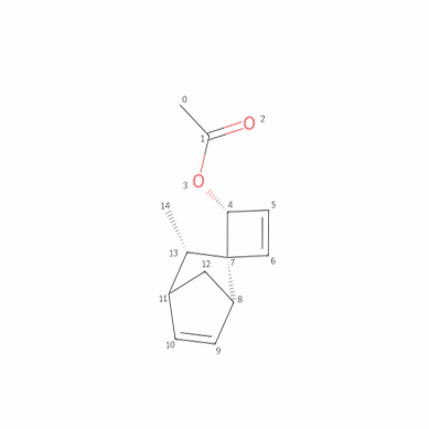 CC(=O)O[C@@H]1C=C[C@]12C1C=CC(C1)[C@@H]2C